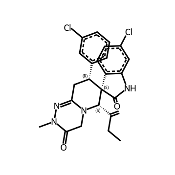 C=C(CC)[C@@H]1N2CC(=O)N(C)N=C2C[C@H](c2cccc(Cl)c2)[C@@]12C(=O)Nc1cc(Cl)ccc12